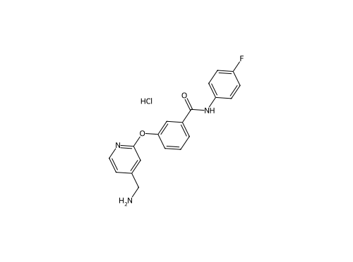 Cl.NCc1ccnc(Oc2cccc(C(=O)Nc3ccc(F)cc3)c2)c1